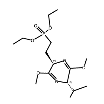 CCOP(=O)(CC[C@H]1N=C(OC)[C@H](C(C)C)N=C1OC)OCC